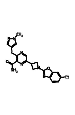 CCc1ccc2nc(N3CC(c4cnc(Cc5cnn(C)c5)c(C(N)=O)n4)C3)oc2c1